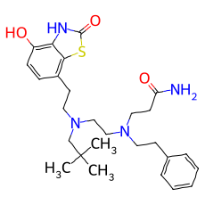 CC(C)(C)CN(CCc1ccc(O)c2[nH]c(=O)sc12)CCN(CCC(N)=O)CCc1ccccc1